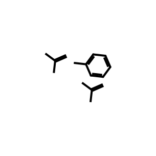 C=C(C)C.C=C(C)C.Cc1ccccc1